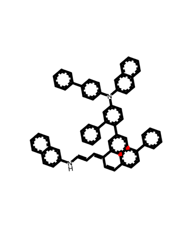 C(=C/c1ccc(-c2ccccc2)cc1)/C(=C\C=C\Nc1ccc2ccccc2c1)c1cccc(-c2ccc(N(c3ccc(-c4ccccc4)cc3)c3ccc4ccccc4c3)cc2-c2ccccc2)c1